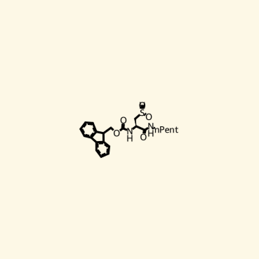 CCCCCNC(=O)[C@H](C[SH](=O)=O)NC(=O)OCC1c2ccccc2-c2ccccc21